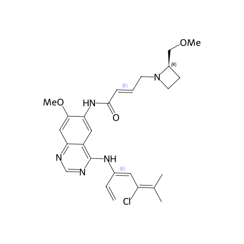 C=C/C(=C\C(Cl)=C(C)C)Nc1ncnc2cc(OC)c(NC(=O)/C=C/CN3CC[C@@H]3COC)cc12